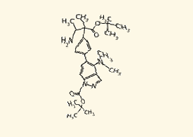 CCC(C(=O)OC(C)(C)C)(c1ccc(-c2ccc3c(cnn3C(=O)OC(C)(C)C)c2N(C)C)cc1)C(C)N